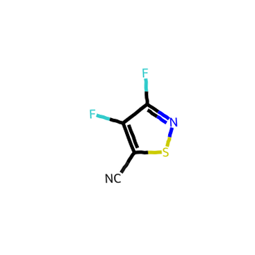 N#Cc1snc(F)c1F